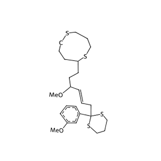 COc1cccc(C2(C/C=C/C(CCC3CCCSCCCS3)OC)SCCCS2)c1